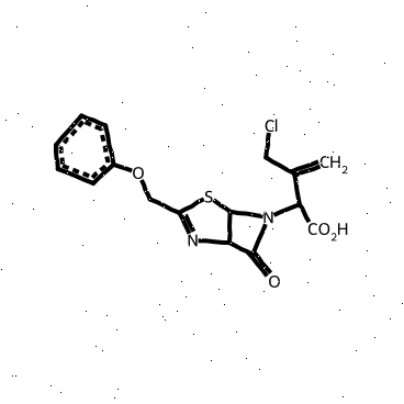 C=C(CCl)C(C(=O)O)N1C(=O)C2N=C(COc3ccccc3)SC21